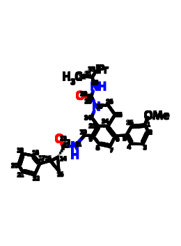 COc1cccc(-c2ccc(CNC(=O)[C@@H]3C[C@H]3c3ccccc3)c3c2CCN(C(=O)NC(C)C(C)C)C3)c1